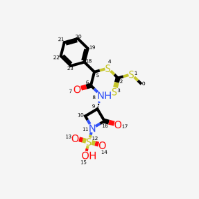 CSC(=S)SC(C(=O)N[C@H]1CN(S(=O)(=O)O)C1=O)c1ccccc1